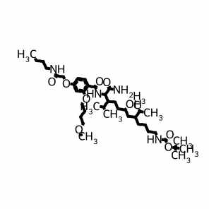 CCCCNC(=O)COc1ccc(C(=O)NC(C(N)=O)C(CCC(O)CC(CCCCNC(=O)OC(C)(C)C)C(C)C)C(C)C)c(OCCCCOC)c1